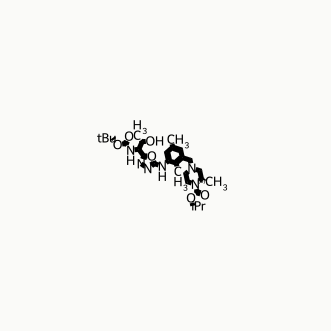 Cc1cc(CN2CCN(C(=O)OC(C)C)[C@@H](C)C2)c(C)c(Nc2nnc(C(NC(=O)OC(C)(C)C)C(C)O)o2)c1